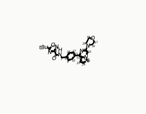 CC(C)(C)c1nc(C(=O)NCc2ccc(-c3nc(N4CCOCC4)cn4nccc34)cc2)no1